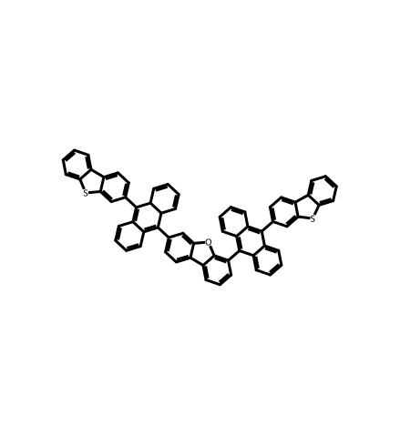 C1=CC2C(c3ccc4c(c3)oc3c(-c5c6ccccc6c(-c6ccc7c(c6)sc6ccccc67)c6ccccc56)cccc34)=c3ccccc3=C(c3ccc4c(c3)sc3ccccc34)C2C=C1